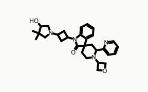 CC1(C)CN(C2CC(N3C(=O)C4(CCN(C5COC5)C(c5ccccn5)C4)c4ccccc43)C2)CC1O